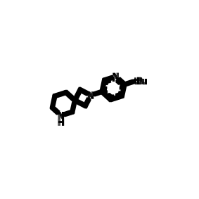 CC(C)(C)c1ccc(N2CC3(CCCNC3)C2)cn1